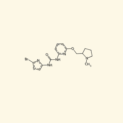 CN1CCCC1COc1cccc(NC(=O)Nc2csc(Br)n2)n1